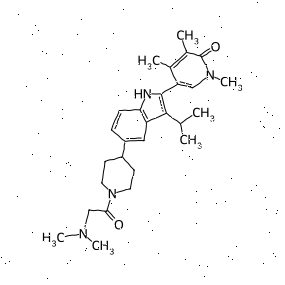 Cc1c(-c2[nH]c3ccc(C4CCN(C(=O)CN(C)C)CC4)cc3c2C(C)C)cn(C)c(=O)c1C